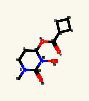 CN1CCC(OC(=O)C2CCC2)N(O)C1=O